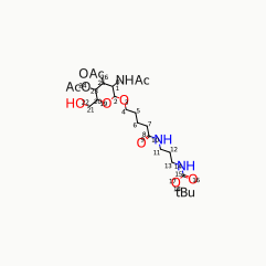 CC(=O)NC1C(OCCCCC(=O)NCCCNC(=O)OC(C)(C)C)OC(CO)C(OC(C)=O)C1OC(C)=O